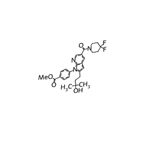 COC(=O)c1ccc(-n2c(CCC(C)(C)O)cc3cc(C(=O)N4CCC(F)(F)CC4)cnc32)cc1